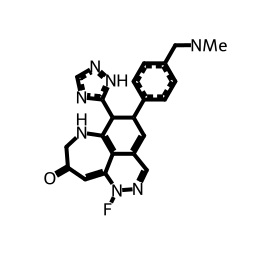 CNCc1ccc(C2C=C3C=NN(F)C4=CC(=O)CNC(=C34)C2c2ncn[nH]2)cc1